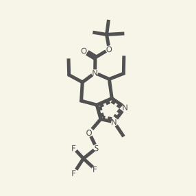 CCC1Cc2c(nn(C)c2OSC(F)(F)F)C(CC)N1C(=O)OC(C)(C)C